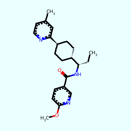 CC[C@H](NC(=O)c1ccc(OC)nc1)[C@H]1CC[C@H](c2cc(C)ccn2)CC1